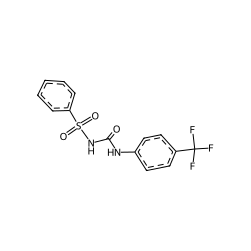 O=C(Nc1ccc(C(F)(F)F)cc1)NS(=O)(=O)c1ccccc1